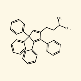 CC(C)CCC1=[C]C(c2ccccc2)(c2ccccc2)C(c2ccccc2)=C1c1ccccc1